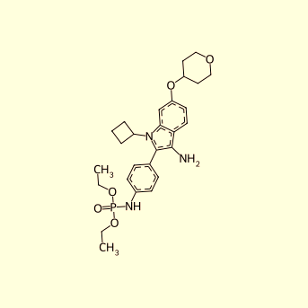 CCOP(=O)(Nc1ccc(-c2c(N)c3ccc(OC4CCOCC4)cc3n2C2CCC2)cc1)OCC